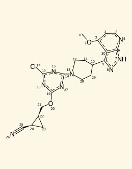 COc1ccnc2[nH]nc(C3CCN(c4nc(Cl)nc(OC[C@H]5C[C@H]5C#N)n4)CC3)c12